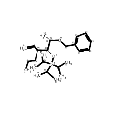 C=C[C@H](CCC)[C@@H](O[Si](C(C)C)(C(C)C)C(C)C)[C@H](C)OCc1ccccc1